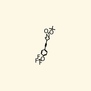 CC(C)(C)OC(=O)N1CC(C#Cc2ccc(OC(F)(F)F)cc2)C1